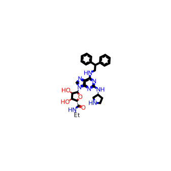 CCNC(=O)[C@H]1O[C@@H](n2cnc3c(NCC(c4ccccc4)c4ccccc4)nc(N[C@@H]4CCNC4)nc32)[C@H](O)[C@@H]1O